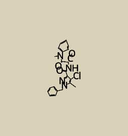 Cc1c(Cl)c(C(=O)NC2COc3ccccc3N(C)C2=O)nn1Cc1ccccc1